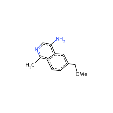 COCc1ccc2c(C)ncc(N)c2c1